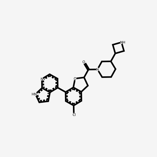 O=C(C1Cc2cc(Cl)cc(-c3ccnc4[nH]ccc34)c2O1)N1CCCC(C2CNC2)C1